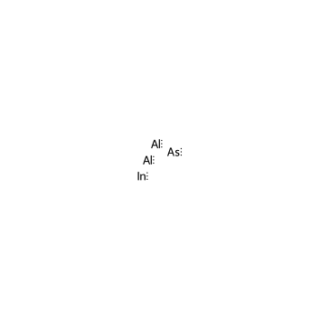 [Al].[Al].[As].[In]